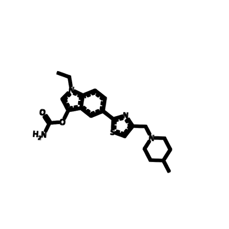 CCn1cc(OC(N)=O)c2cc(-c3nc(CN4CCC(C)CC4)cs3)ccc21